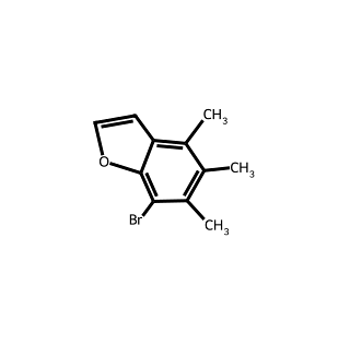 Cc1c(C)c(Br)c2occc2c1C